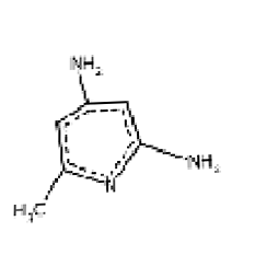 Cc1cc(N)cc(N)n1